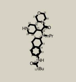 CCCN(C1CCc2ccc(NC(=O)C(C)(C)C)cc2C1)C(C(=O)N1CCOCC1)C1CCNCC1